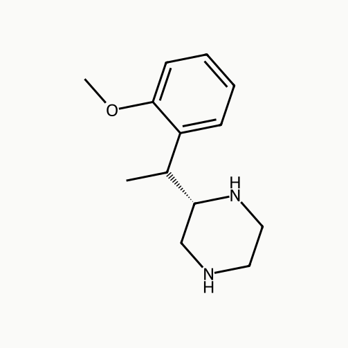 COc1ccccc1C(C)[C@H]1CNCCN1